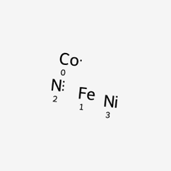 [Co].[Fe].[N].[Ni]